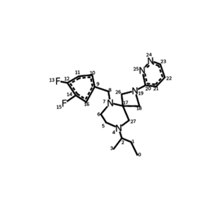 CCC(C)N1CCN(Cc2ccc(F)c(F)c2)C2(CN(c3cccnn3)C2)C1